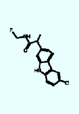 CC(C(=O)NCF)c1ccc2c(c1)[nH]c1ccc(Cl)cc12